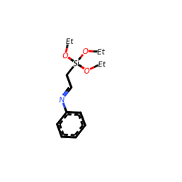 CCO[Si](CC=Nc1ccccc1)(OCC)OCC